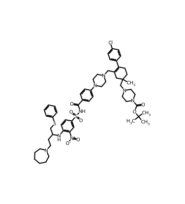 CC1(CN2CCN(C(=O)OC(C)(C)C)CC2)CCC(c2ccc(Cl)cc2)=C(CN2CCN(c3ccc(C(=O)NS(=O)(=O)c4ccc(NC(CCN5CCCCCC5)CSc5ccccc5)c([N+](=O)[O-])c4)cc3)CC2)C1